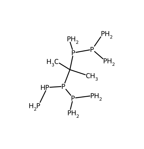 CC(C)(P(P)P(P)P)P(PP)P(P)P